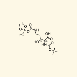 CC(C)(C)OC(=O)N[C@H](C(=O)O)[C@@H](O)CCNC(=O)OC(OI)(OI)OI